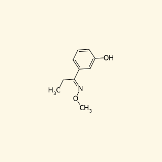 CCC(=NOC)c1cccc(O)c1